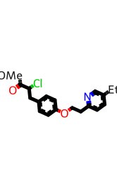 CCc1ccc(CCOc2ccc(CC(Cl)C(=O)OC)cc2)nc1